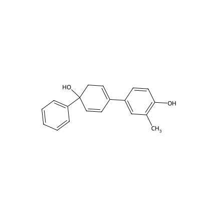 Cc1cc(C2=CCC(O)(c3ccccc3)C=C2)ccc1O